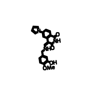 COc1ccc(CN/C=C2\C(=O)NC(=O)c3ccc(-n4cccc4)cc32)cc1O